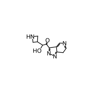 O=C(C1=NN=C2CC=NC=C21)C(O)C1CNC1